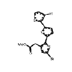 CCc1ccsc1-c1ccc(-c2sc(Br)cc2CC(=O)OC)s1